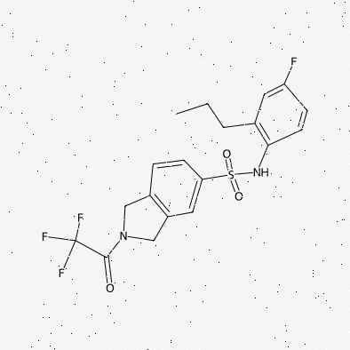 CCCc1cc(F)ccc1NS(=O)(=O)c1ccc2c(c1)CN(C(=O)C(F)(F)F)C2